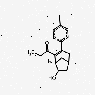 CCC(=O)C1=C(c2ccc(I)cc2)CC2CC(O)[C@@H]1C2